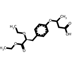 CCOC(=O)[C@H](Cc1ccc(OC(C)CC(=O)O)cc1)OCC